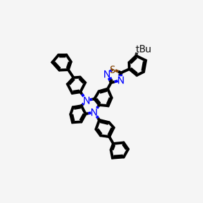 CC(C)(C)c1cccc(-c2nc(-c3ccc4c(c3)N(c3ccc(-c5ccccc5)cc3)c3ccccc3N4c3ccc(-c4ccccc4)cc3)ns2)c1